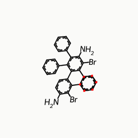 Nc1ccc(-c2c(-c3ccccc3)c(Br)c(N)c(-c3ccccc3)c2-c2ccccc2)c(-c2ccccc2)c1Br